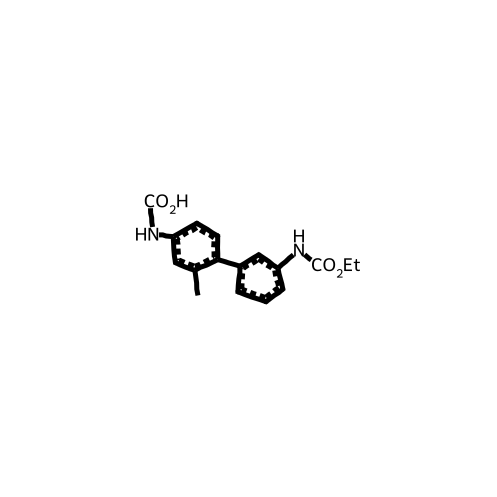 CCOC(=O)Nc1cccc(-c2ccc(NC(=O)O)cc2C)c1